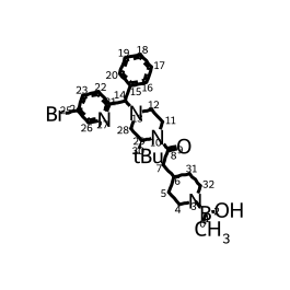 CB(O)N1CCC(CC(=O)N2CCN(C(c3ccccc3)c3ccc(Br)cn3)C[C@@H]2C(C)(C)C)CC1